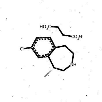 C[C@H]1CNCCc2ccc(Cl)cc21.O=C(O)CCC(=O)O